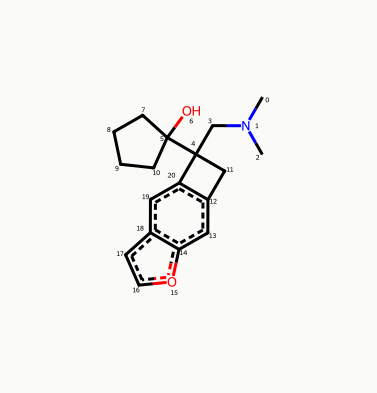 CN(C)CC1(C2(O)CCCC2)Cc2cc3occc3cc21